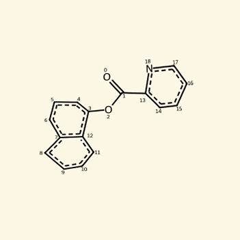 O=C(Oc1cccc2ccccc12)c1ccccn1